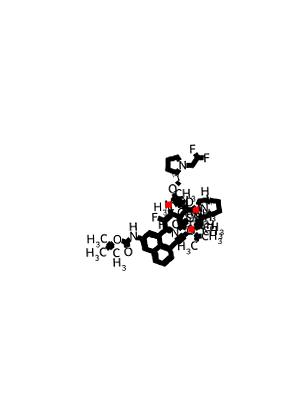 CC(C)[Si](C#Cc1cccc2cc(NC(=O)OC(C)(C)C)cc(-c3nc4c5c(nc(OC[C@@H]6CCCN6CC(F)F)nc5c3F)N3C[C@H]5CC[C@@H]([C@H]3[C@H](C)O4)N5C(=O)OC(C)(C)C)c12)(C(C)C)C(C)C